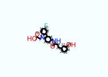 O=C(O)Cn1c2c(c3cc(F)ccc31)CC(NC(=O)CCc1cccc(O)c1)CC2